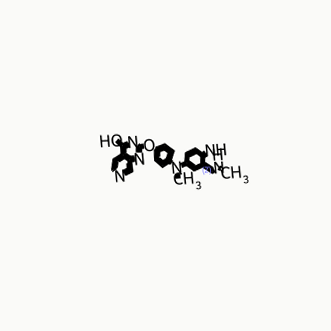 CN/C=C1/C=C(N(C)c2ccc(Oc3nc(O)c4ccncc4n3)cc2)C=CC1=N